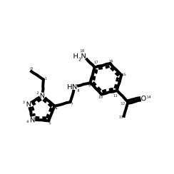 CCn1nncc1CNc1cc(C(C)=O)ccc1N